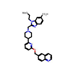 COCCn1c(CN2CCC(c3cccc(OCc4ccc5ncccc5c4)n3)CC2)nc2ccc(C(=O)O)cc21